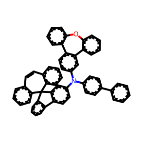 C1=Cc2ccccc2C2(c3ccccc31)c1ccccc1-c1ccc(N(c3ccc(-c4ccccc4)cc3)c3ccc4c(c3)-c3ccccc3Oc3ccccc3-4)cc12